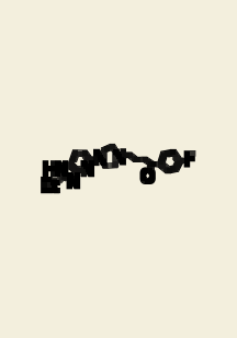 CCc1nc2nc(N3CCN(CCCC(=O)c4ccc(F)cc4)CC3)ccc2[nH]1